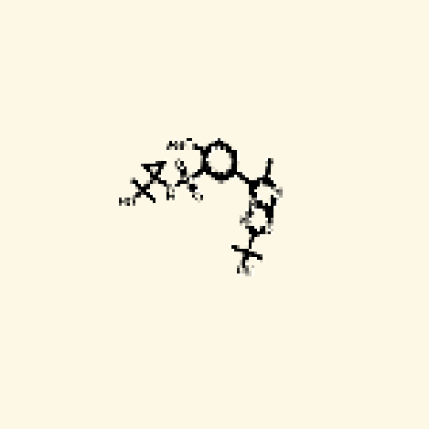 COc1ccc(-c2c(C)nc3sc(C(C)(C)O)nn23)cc1S(=O)(=O)NC1(C(C)(C)O)CC1